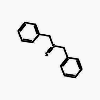 S=S(Cc1ccccc1)Cc1ccccc1